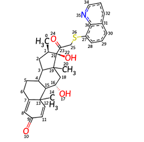 C[C@@H]1CC2C3CCC4=CC(=O)C=CC4(C)C3[C@@H](O)CC2(C)[C@@]1(O)C(=O)CSc1cccc2cccnc12